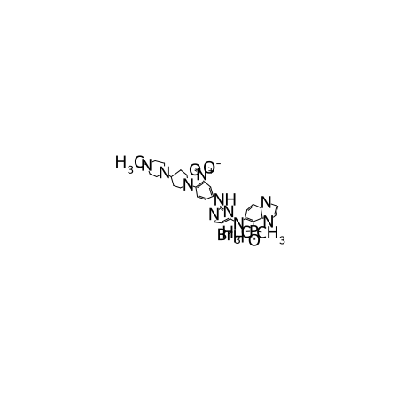 CN1CCN(C2CCN(c3ccc(Nc4ncc(Br)c(Nc5ccc6nccnc6c5P(C)(C)=O)n4)cc3[N+](=O)[O-])CC2)CC1